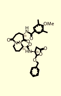 COc1c(C)cc(C(=O)N[C@H]2CCC(=O)N3CCC[C@@H](C(=O)N[C@H]4CC(=O)OC4OCc4ccccc4)N3C2=O)cc1C